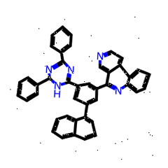 c1ccc(C2=NC(c3ccccc3)NC(c3cc(-c4cccc5ccccc45)cc(-c4nc5ccccc5c5ccncc45)c3)=N2)cc1